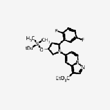 CCOC(=O)c1cnn2ccc(N3C[C@H](O[Si](C)(C)C(C)(C)C)CC3c3cc(F)ccc3F)cc12